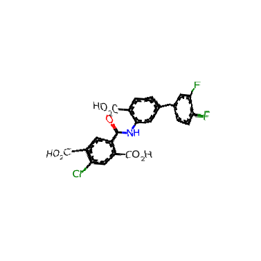 O=C(O)c1cc(C(=O)Nc2cc(-c3ccc(F)c(F)c3)ccc2C(=O)O)c(C(=O)O)cc1Cl